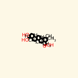 CC1(C)CC(C(=O)O)[C@]2(C)CC[C@]3(C)C(=CC[C@@H]4[C@@]5(C)CC[C@H](O)[C@@](C)(CO)C5CC[C@]43C)[C@H]2C1